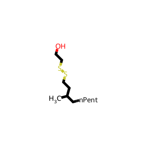 CCCCCCC(C)CCSSCCO